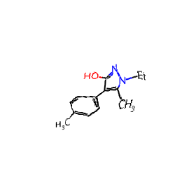 CCn1nc(O)c(-c2ccc(C)cc2)c1C